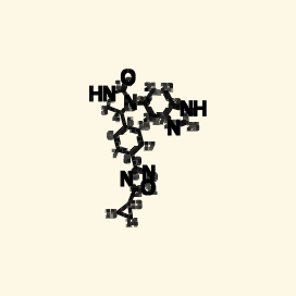 O=C1NCC(c2ccc(-c3noc(C4CC4)n3)cc2)N1c1ccc2[nH]cnc2c1